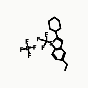 CCc1ccc2c(c1)cc(C1CCCCC1)[s+]2C(F)(F)F.F[B-](F)(F)F